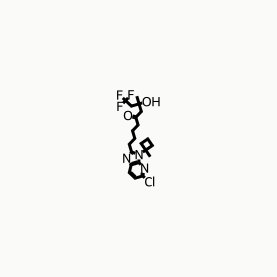 CC(O)(CC(=O)CCCCc1nc2ccc(Cl)nc2n1C1(C)CCC1)CC(F)(F)F